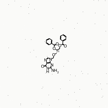 Nc1nc2c(ncn2COC[C@@H](COC(=O)c2ccccc2)OC(=O)c2ccccc2)c(=O)[nH]1